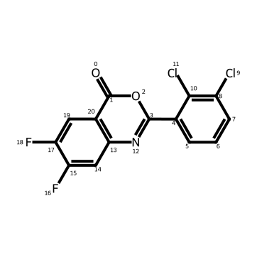 O=c1oc(-c2cccc(Cl)c2Cl)nc2cc(F)c(F)cc12